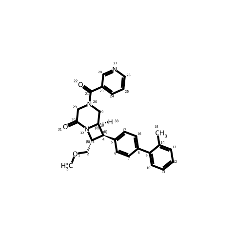 COC[C@H]1[C@H](c2ccc(-c3ccccc3C)cc2)[C@@H]2CN(C(=O)c3cccnc3)CC(=O)N12